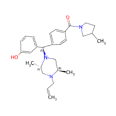 C=CCN1C[C@H](C)N([C@H](c2ccc(C(=O)N3CCC(C)C3)cc2)c2cccc(O)c2)C[C@H]1C